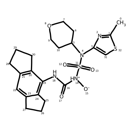 Cc1nc(N(C2CCOCC2)S(=O)(=O)[NH+]([O-])C(=O)Nc2c3c(cc4c2CCC4)CCC3)cs1